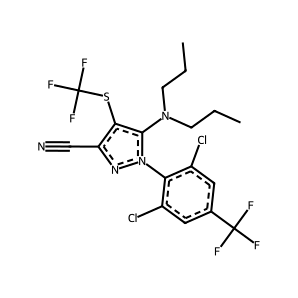 CCCN(CCC)c1c(SC(F)(F)F)c(C#N)nn1-c1c(Cl)cc(C(F)(F)F)cc1Cl